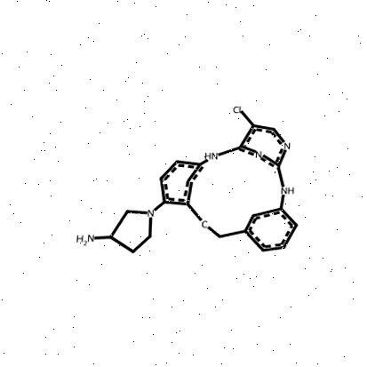 NC1CCN(c2ccc3cc2CCc2cccc(c2)Nc2ncc(Cl)c(n2)N3)C1